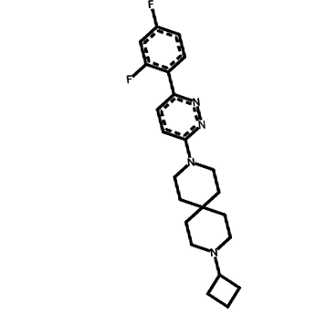 Fc1ccc(-c2ccc(N3CCC4(CC3)CCN(C3CCC3)CC4)nn2)c(F)c1